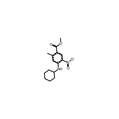 COC(=O)c1cc([N+](=O)[O-])c(NC2CCCCC2)cc1C